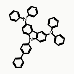 c1ccc(-c2ccc(-n3c4ccc(N(c5ccccc5)c5ccccc5)cc4c4cc(N(c5ccccc5)c5ccccc5)ccc43)cc2)cc1